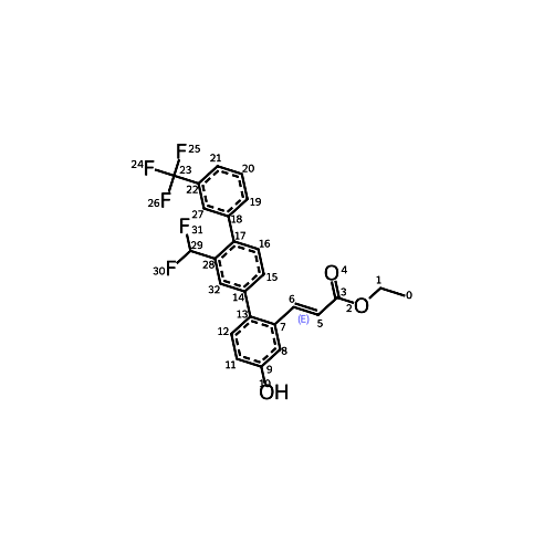 CCOC(=O)/C=C/c1cc(O)ccc1-c1ccc(-c2cccc(C(F)(F)F)c2)c(C(F)F)c1